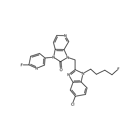 O=c1n(Cc2nc3cc(Cl)ccc3n2CCCCF)c2cnccc2n1-c1ccc(F)nc1